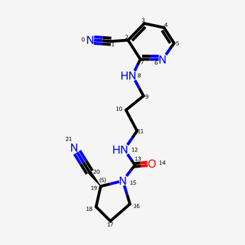 N#Cc1cccnc1NCCCNC(=O)N1CCC[C@H]1C#N